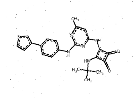 Cc1cc(Nc2c(NC(C)(C)C)c(=O)c2=O)nc(Nc2ccc(-c3ccsc3)cc2)n1